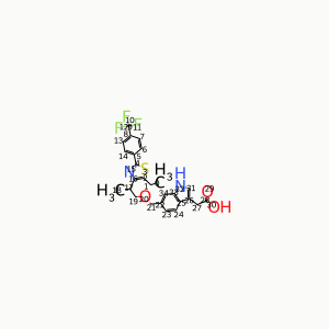 CCc1sc(-c2ccc(C(F)(F)F)cc2)nc1C(C)COCc1ccc2c(CC(=O)O)c[nH]c2c1